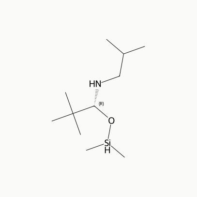 CC(C)CN[C@H](O[SiH](C)C)C(C)(C)C